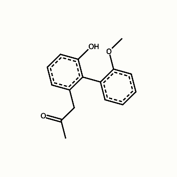 COc1ccccc1-c1c(O)cccc1CC(C)=O